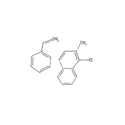 C=Cc1ccccc1.Cc1ccc2ccccc2c1Cl